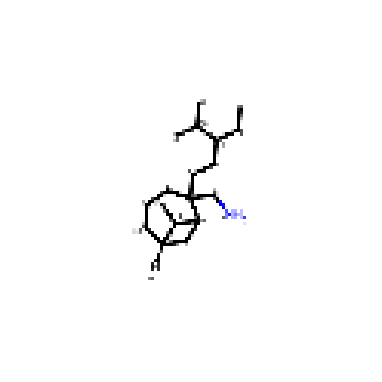 CCC(CCC1(CN)CCC[C@H]2CC1C2C)C(C)C